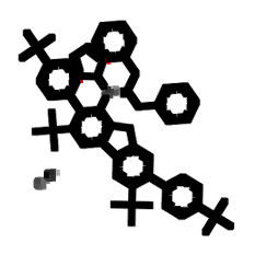 CC(C)(C)c1ccc(-c2cc3c(cc2C(C)(C)C)-c2cc(C(C)(C)C)c(-c4ccc(C(C)(C)C)cc4)[c]([Zr+2](=[C](Cc4ccccc4)Cc4ccccc4)[CH]4C=CC=C4)c2C3)cc1.[Cl-].[Cl-]